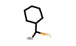 CCCCC(P)C1CCCCC1